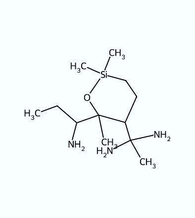 CCC(N)C1(C)O[Si](C)(C)CCC1C(C)(N)N